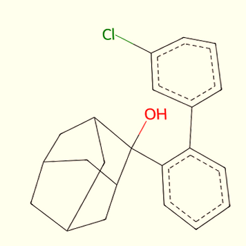 OC1(c2ccccc2-c2cccc(Cl)c2)C2CC3CC(C2)CC1C3